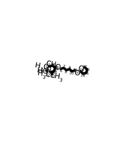 CC1(C)CC(OCCCCCCOC2CCCCO2)CC(C)(C)N1O